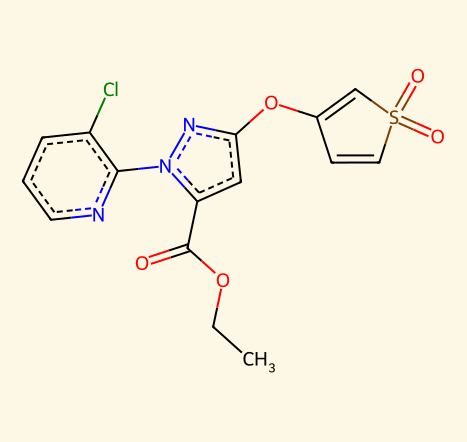 CCOC(=O)c1cc(OC2=CS(=O)(=O)C=C2)nn1-c1ncccc1Cl